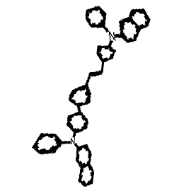 C(=C\c1ccc(N(c2ccccc2)c2ccc3ccccc3c2)cc1)/c1ccc(-c2ccc(N(c3ccccc3)c3ccc4ccccc4c3)cc2)cc1